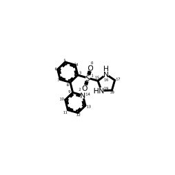 O=S(=O)(c1[c]cccc1-c1ccccn1)C1NCCN1